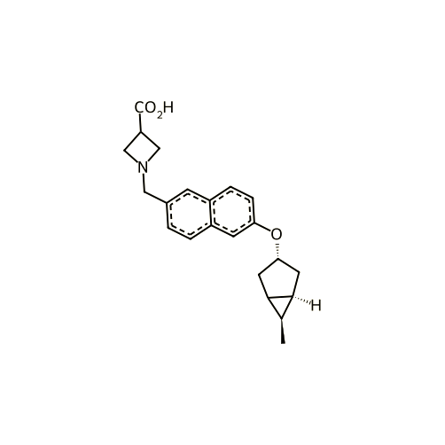 C[C@H]1C2C[C@H](Oc3ccc4cc(CN5CC(C(=O)O)C5)ccc4c3)C[C@H]21